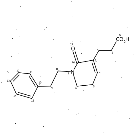 O=C(O)CCC1=CCCN(CCc2ccccc2)C1=O